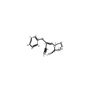 N#CC(=CN1CCNC1=O)Cc1ccccc1